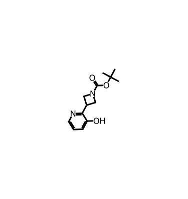 CC(C)(C)OC(=O)N1CC(c2ncccc2O)C1